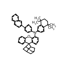 CC1(C)CCC(C)(C)c2cc(N(c3ccc(-c4ccc5ccccc5c4)cc3)c3cccc4c3Oc3ccccc3C43C4CC5CC6CC3[C@@]64C5)ccc21